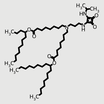 CCCCCCCCC(CCC)OC(=O)CCCCCCCN(CCCCCCCC(=O)OC(CCCCCCCC)CCCCCCCC)CCCNc1c(NC(C)C)c(=O)c1=O